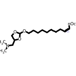 CCCCCCCC/C=C\CCCCCCCCOC1OCC(CN(C)C)O1